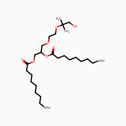 CCCCCCCCCCCCCCCCCC(=O)OCC(COCCOC(C)(C)CO)OC(=O)CCCCCCCCCCCCCCCCC